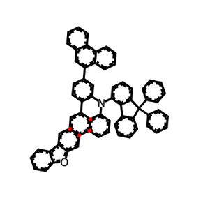 c1ccc(-c2ccc(-c3cc4ccccc4c4ccccc34)cc2N(c2cccc(-c3ccc4c(c3)oc3ccccc34)c2)c2cccc3c2-c2ccccc2C3(c2ccccc2)c2ccccc2)cc1